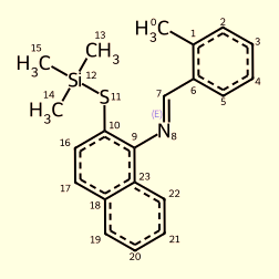 Cc1ccccc1/C=N/c1c(S[Si](C)(C)C)ccc2ccccc12